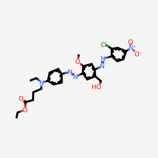 CCOC(=O)CCCN(CC)c1ccc(N=Nc2cc(CO)c(N=Nc3ccc([N+](=O)[O-])cc3Cl)cc2OC)cc1